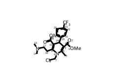 COC(=O)C1=C(C)N(CCl)C(CCN(C)C)=C(C(=O)OC)C1c1ccc(C(F)(F)F)cc1